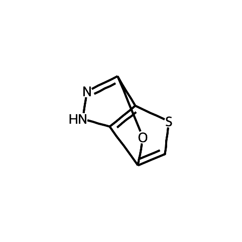 c1sc2c3n[nH]c2c1o3